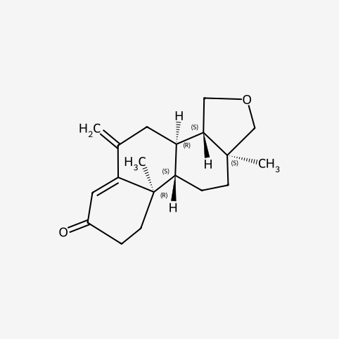 C=C1C[C@H]2[C@@H]3COC[C@@]3(C)CC[C@@H]2[C@@]2(C)CCC(=O)C=C12